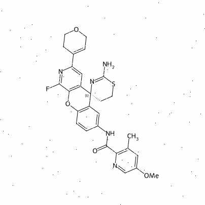 COc1cnc(C(=O)Nc2ccc3c(c2)[C@@]2(CCSC(N)=N2)c2cc(C4=CCOCC4)nc(F)c2O3)c(C)c1